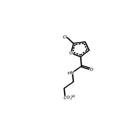 O=C(O)CCNC(=O)c1ccc(Cl)o1